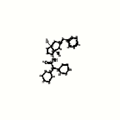 O=C(N[C@@H]1CC[C@H]2CN(Cc3ccccc3)C[C@H]21)C(C1CCCCC1)C1CCCCC1